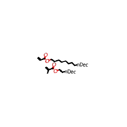 C=C(C)C(=O)OCCCCCCCCCCCC.C=CC(=O)OCCCCCCCCCCCCCCCCCC